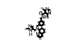 Cc1ncc(CN(Cc2cccc(CNC(=O)c3c(C)ncnc3C)c2)C2CCCc3cccnc32)[nH]1